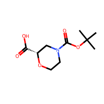 CC(C)(C)OC(=O)N1CCO[C@H](C(=O)O)C1